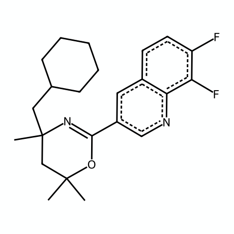 CC1(CC2CCCCC2)CC(C)(C)OC(c2cnc3c(F)c(F)ccc3c2)=N1